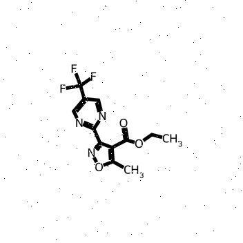 CCOC(=O)c1c(-c2ncc(C(F)(F)F)cn2)noc1C